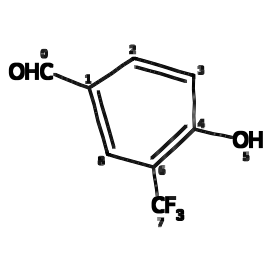 O=Cc1ccc(O)c(C(F)(F)F)c1